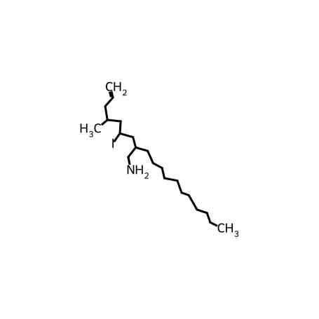 C=CCC(C)CC(I)CC(CN)CCCCCCCCCCC